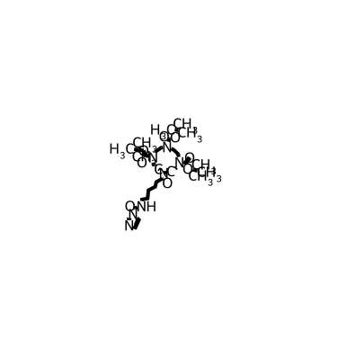 CC(C)(C)OC(=O)N1CCN(C(=O)CCCCCNC(=O)n2ccnc2)CCN(C(=O)OC(C)(C)C)CCN(C(=O)OC(C)(C)C)CC1